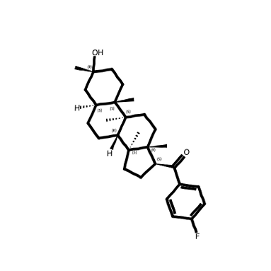 C[C@@]1(O)CC[C@@]2(C)[C@@H](CC[C@@H]3[C@]2(C)CC[C@]2(C)[C@@H](C(=O)c4ccc(F)cc4)CC[C@@]32C)C1